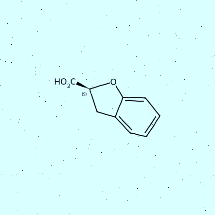 O=C(O)[C@@H]1Cc2ccccc2O1